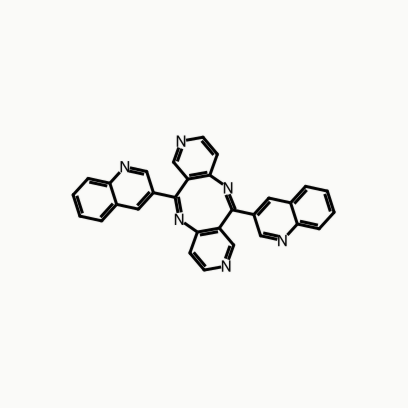 c1ccc2ncc(/C3=N/c4ccncc4/C(c4cnc5ccccc5c4)=N\c4ccncc43)cc2c1